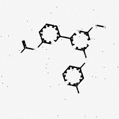 COC(=O)Nc1cccc(-c2nc(Nc3ccnc(C(F)(F)F)c3)nc(NC(C)C)n2)n1